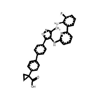 Cc1noc(-c2ccc(-c3ccc(C4(C(=O)O)CC4)cc3)cc2)c1Nc1cccc(-c2cccc(F)c2C)n1